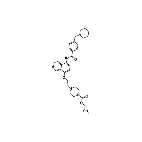 CCOC(=O)N1CCN(CCOc2ccc(NC(=O)c3ccc(CN4CCCCC4)cc3)c3ccccc23)CC1